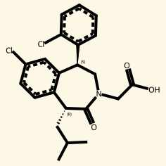 CC(C)C[C@H]1C(=O)N(CC(=O)O)C[C@H](c2ccccc2Cl)c2cc(Cl)ccc21